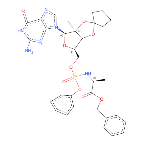 C[C@H](NP(=O)(OC[C@H]1O[C@@H](n2cnc3c(=O)[nH]c(N)nc32)[C@@]2(C)OC3(CCCC3)OC12)Oc1ccccc1)C(=O)OCc1ccccc1